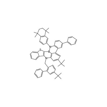 CC(C)(C)c1ccc(CN2c3cc(C(C)(C)C)cc4c3B(c3sc5ccccc5c32)N(c2ccc3c(c2)C(C)(C)CCC3(C)C)c2ccc(-c3ccccc3)cc2-4)c(-c2ccccc2)c1